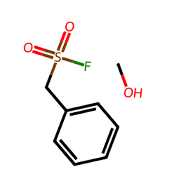 CO.O=S(=O)(F)Cc1ccccc1